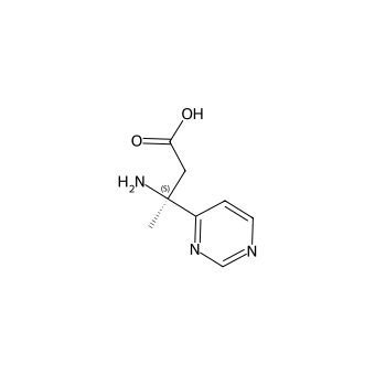 C[C@](N)(CC(=O)O)c1ccncn1